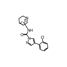 O=C(NC1CC2CCN(CC2)C1)n1cc(-c2ccccc2Cl)cn1